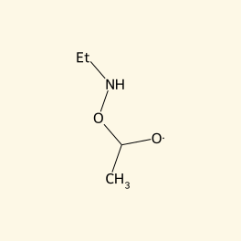 CCNOC(C)[O]